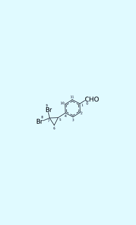 O=Cc1ccc(C2CC2(Br)Br)cc1